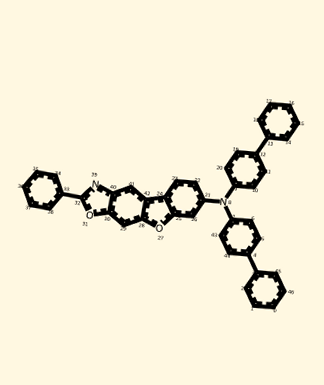 c1ccc(-c2ccc(N(c3ccc(-c4ccccc4)cc3)c3ccc4c(c3)oc3cc5oc(-c6ccccc6)nc5cc34)cc2)cc1